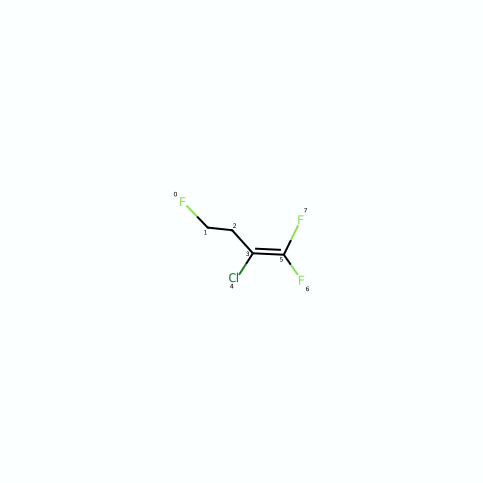 FCCC(Cl)=C(F)F